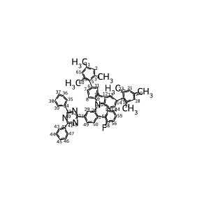 Cc1cc(C)c(-c2ccc3c(c2)c2cc(-c4c(C)cc(C)cc4C)ccc2n3-c2cc(-c3nc(-c4ccccc4)nc(-c4ccccc4)n3)ccc2-c2ccccc2F)c(C)c1